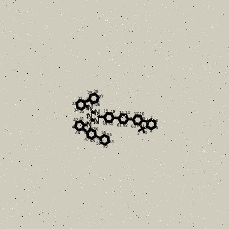 CC1(C)c2ccccc2-c2ccc(-c3ccc(-c4ccc(-c5nc(-n6c7ccccc7c7ccccc76)nc(-n6c7ccccc7c7ccc(-c8ccccc8)cc76)n5)cc4)cc3)cc21